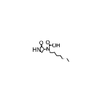 CCCCCCCN(C(=O)O)C1CNC1=O